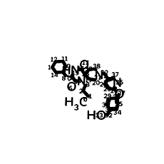 CCCCN1C(=O)[C@H](CC2CCCCC2)NC(=O)C12CCN(Cc1ccc(Oc3ccc(CO)cc3)nc1)CC2